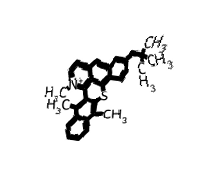 Cc1c2c(c(C)c3ccccc13)-c1c3c(c4ccc(CC(C)(C)C)cc4cc3cc[n+]1C)S2